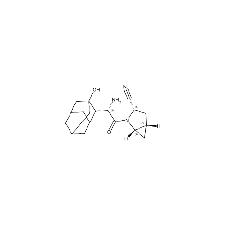 N#C[C@@H]1C[C@@H]2C[C@@H]2N1C(=O)[C@@H](N)C1C2CC3CC(C2)CC1(O)C3